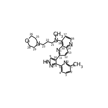 Cc1cccc(-c2n[nH]cc2-c2ccc3nccc(N(C)CCCN4CCOCC4)c3n2)n1